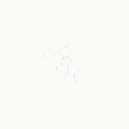 CCn1c(C(=N/O)/C(N)=N\C)nc2cncc(N3CCCC3)c21